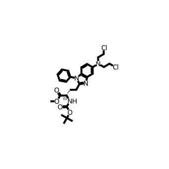 COC(=O)[C@H](CCc1nc2cc(N(CCCl)CCCl)ccc2n1-c1ccccc1)NC(=O)OC(C)(C)C